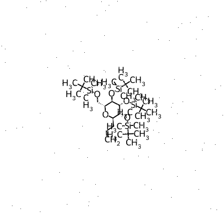 C=CC[C@H]1O[C@H](CO[Si](C)(C)C(C)(C)C)[C@@H](O[Si](C)(C)C(C)(C)C)[C@H](O[Si](C)(C)C(C)(C)C)[C@@H]1O[Si](C)(C)C(C)(C)C